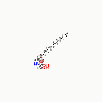 CCCCCCCCCCCCCCCCCC(=O)OC(C)C(=O)NC(C)(CO)CO